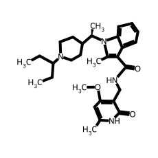 CCC(CC)N1CCC([C@@H](C)n2c(C)c(C(=O)NCc3c(OC)cc(C)[nH]c3=O)c3ccccc32)CC1